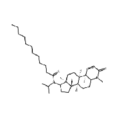 CCCCCCCCCCCC(=S)N(C(C)C)C1CC[C@H]2[C@@H]3CCC4N(C)C(=O)C=C[C@]4(C)[C@@H]3CC[C@]12C